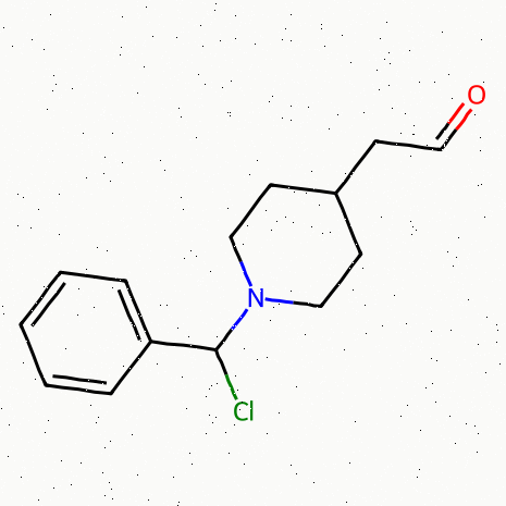 O=CCC1CCN(C(Cl)c2ccccc2)CC1